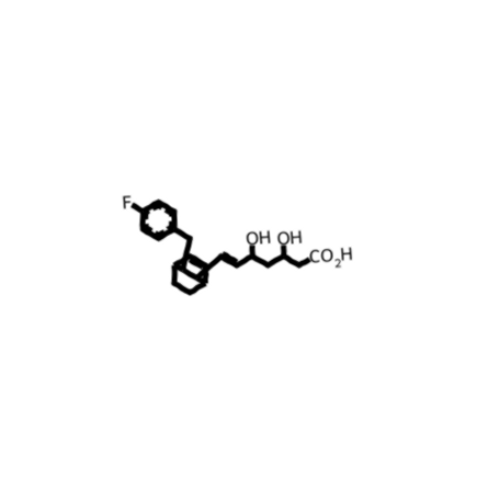 O=C(O)CC(O)CC(O)/C=C/C1C2C=CC(CC2)C1Cc1ccc(F)cc1